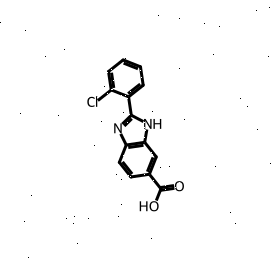 O=C(O)c1ccc2nc(-c3ccccc3Cl)[nH]c2c1